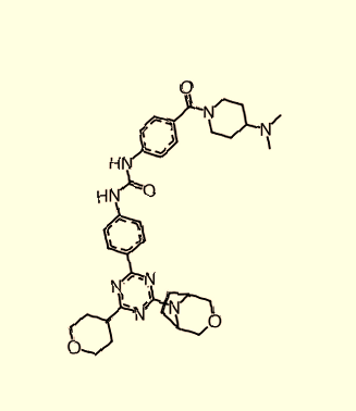 CN(C)C1CCN(C(=O)c2ccc(NC(=O)Nc3ccc(-c4nc(C5CCOCC5)nc(N5C6CCC5COC6)n4)cc3)cc2)CC1